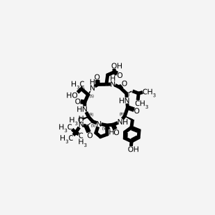 CC(C)C[C@@H]1NC(=O)[C@@H](Cc2ccc(O)cc2)NC(=O)[C@@H]2CCCN2[C@H](C(=O)NC(C)(C)C)[C@@H](C)NC(=O)[C@H]([C@@H](C)O)NC(=O)C(CC(=O)O)NC1=O